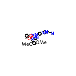 COc1ccc(OC)c(CN(C(=O)Oc2c(C)cccc2C)c2ccnc(Nc3ccc(N4CCN(CCCN(C)C)CC4)cc3)n2)c1